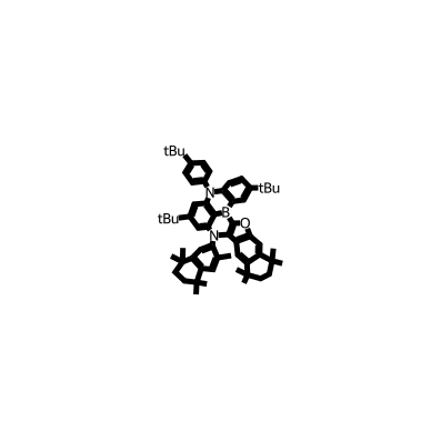 Cc1cc2c(cc1N1c3cc(C(C)(C)C)cc4c3B(c3cc(C(C)(C)C)ccc3N4c3ccc(C(C)(C)C)cc3)c3oc4cc5c(cc4c31)C(C)(C)CCC5(C)C)C(C)(C)CCC2(C)C